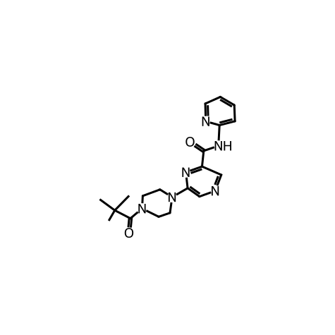 CC(C)(C)C(=O)N1CCN(c2cncc(C(=O)Nc3ccccn3)n2)CC1